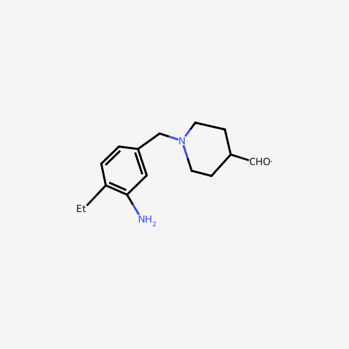 CCc1ccc(CN2CCC([C]=O)CC2)cc1N